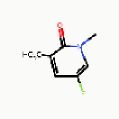 Cn1cc(F)cc(C(=O)O)c1=O